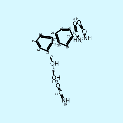 CO.CO.N=C=O.N=C=O.N=C=O.c1ccccc1.c1ccccc1